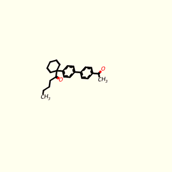 CCCCC(=O)C1(c2ccc(-c3ccc(C(C)=O)cc3)cc2)CCCCC1